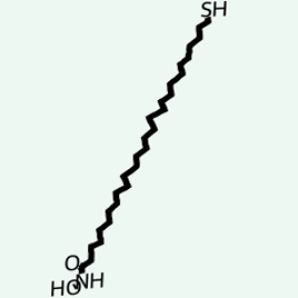 O=C(CCCCCCCCCCCCCCCCCCCCCCCCCCCS)NO